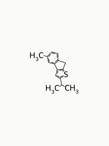 Cc1ccc2c(c1)-c1cc(C(C)C)sc1C2